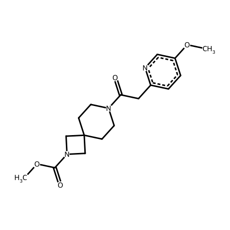 COC(=O)N1CC2(CCN(C(=O)Cc3ccc(OC)cn3)CC2)C1